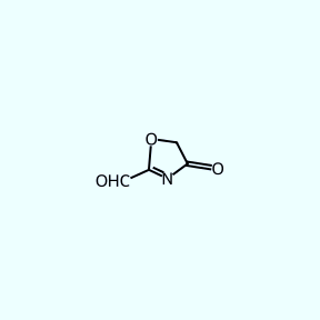 O=CC1=NC(=O)CO1